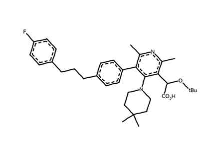 Cc1nc(C)c(C(OC(C)(C)C)C(=O)O)c(N2CCC(C)(C)CC2)c1-c1ccc(CCCc2ccc(F)cc2)cc1